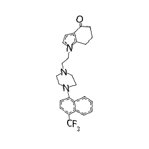 O=C1CCCc2c1ccn2CCN1CCN(c2ccc(C(F)(F)F)c3ccccc23)CC1